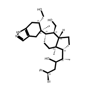 CC[C@H](CC(O)[C@@H](C)[C@H]1CC[C@H]2[C@H](CO)[C@@H]([C@@]3(C)Cc4cn[nH]c4C[C@@H]3CO)CC[C@]12C)C(C)C